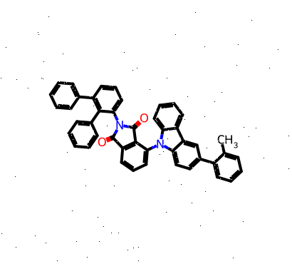 Cc1ccccc1-c1ccc2c(c1)c1ccccc1n2-c1cccc2c1C(=O)N(c1cccc(-c3ccccc3)c1-c1ccccc1)C2=O